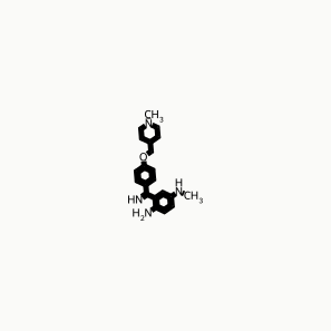 CNc1ccc(N)c(C(=N)c2ccc(OCC3CCN(C)CC3)cc2)c1